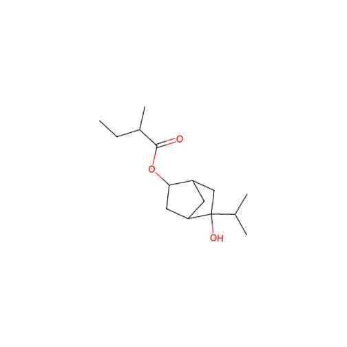 CCC(C)C(=O)OC1CC2CC1CC2(O)C(C)C